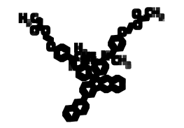 C=CC(=O)OCCOc1ccc(/C(C)=N/c2ccc(C3(c4ccc(/N=C(\C)c5ccc(OCCOC(=O)C=C)cc5)c(S)c4)c4ccc(-c5ccc6ccccc6c5)cc4-c4cc5ccccc5cc43)cc2S)cc1